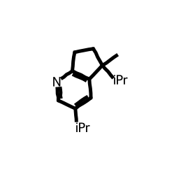 CC(C)c1cnc2c(c1)C(C)(C(C)C)CC2